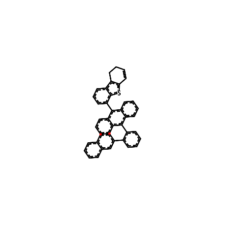 C1=Cc2sc3c(-c4c5ccccc5c(-c5ccccc5-c5ccc6ccccc6c5)c5ccccc45)cccc3c2CC1